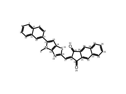 Cn1c(-c2ccc3ccccc3c2)cc2sc(C=C3C(=O)c4cc5ccccc5cc4C3=O)nc21